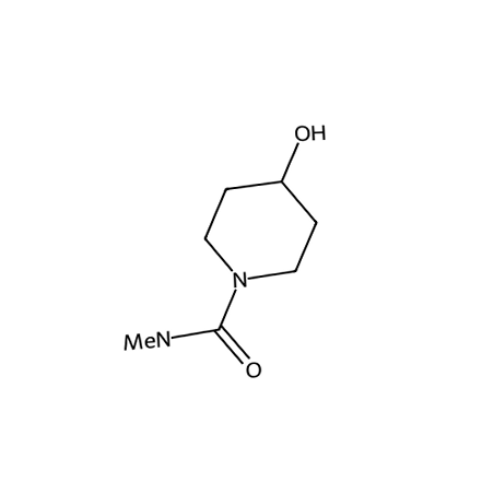 CNC(=O)N1CCC(O)CC1